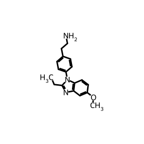 CCc1nc2cc(OC)ccc2n1-c1ccc(CCN)cc1